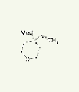 C=CC1(OC)CCOCC1